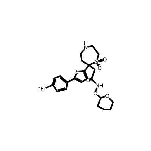 CCCc1ccc(-c2ccc(C3(CC(=O)NOC4CCCCO4)CCNCCS3(=O)=O)s2)cc1